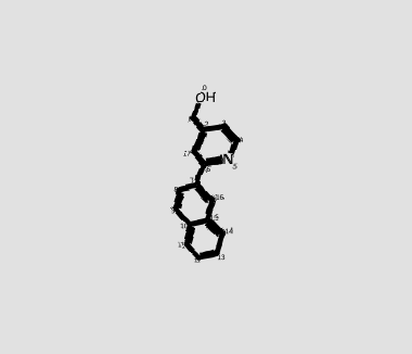 OCc1ccnc(-c2ccc3ccccc3c2)c1